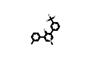 Cc1cccc(-c2cn(C)cc(-c3cccc(C(F)(F)F)c3)c2=S)c1